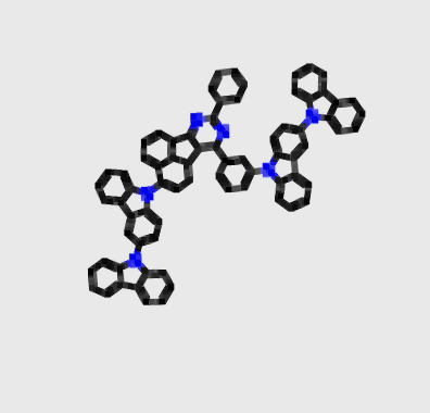 c1ccc(-c2nc(-c3cccc(-n4c5ccccc5c5cc(-n6c7ccccc7c7ccccc76)ccc54)c3)c3c(n2)-c2cccc4c(-n5c6ccccc6c6cc(-n7c8ccccc8c8ccccc87)ccc65)ccc-3c24)cc1